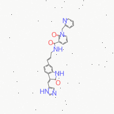 O=C1Nc2cc(C=CCNC(=O)c3cccn(Cc4ccccn4)c3=O)ccc2C1=Cc1cnc[nH]1